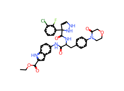 CCOC(=O)c1cc2cc(NC(=O)C(Cc3ccc(N4CCOCC4=O)cc3)NC(=O)C3(c4cccc(Cl)c4F)C=CNN3)ccc2[nH]1